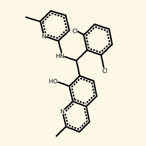 Cc1cccc(NC(c2ccc3ccc(C)nc3c2O)c2c(Cl)cccc2Cl)n1